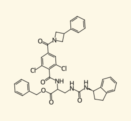 O=C(NCC(NC(=O)c1c(Cl)cc(C(=O)N2CC(c3ccccc3)C2)cc1Cl)C(=O)OCc1ccccc1)N[C@@H]1CCc2ccccc21